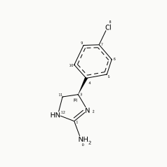 NC1=N[C@H](c2ccc(Cl)cc2)CN1